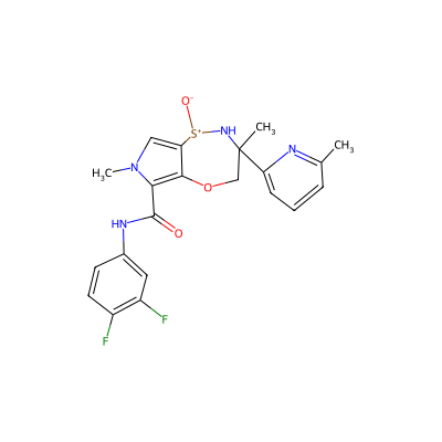 Cc1cccc(C2(C)COc3c(cn(C)c3C(=O)Nc3ccc(F)c(F)c3)[S+]([O-])N2)n1